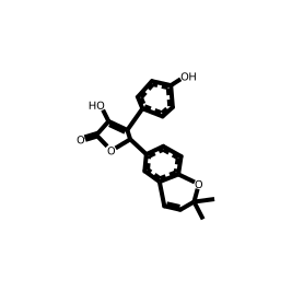 CC1(C)C=Cc2cc(C3OC(=O)C(O)=C3c3ccc(O)cc3)ccc2O1